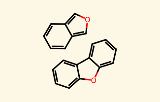 c1ccc2c(c1)oc1ccccc12.c1ccc2cocc2c1